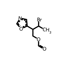 CC(Br)C(COC=O)c1cnco1